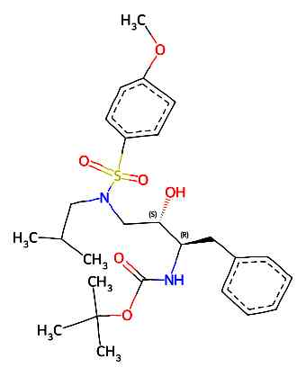 COc1ccc(S(=O)(=O)N(CC(C)C)C[C@H](O)[C@@H](Cc2ccccc2)NC(=O)OC(C)(C)C)cc1